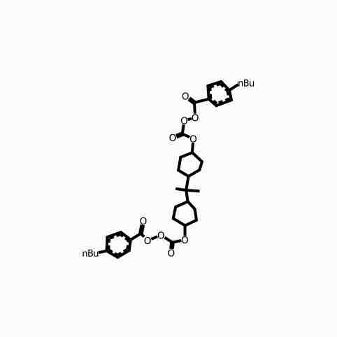 CCCCc1ccc(C(=O)OOC(=O)OC2CCC(C(C)(C)C3CCC(OC(=O)OOC(=O)c4ccc(CCCC)cc4)CC3)CC2)cc1